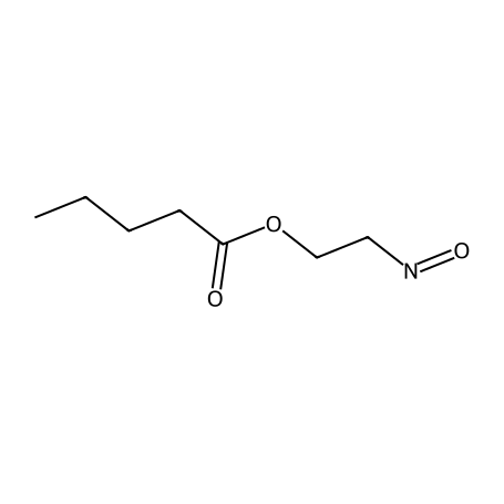 CCCCC(=O)OCCN=O